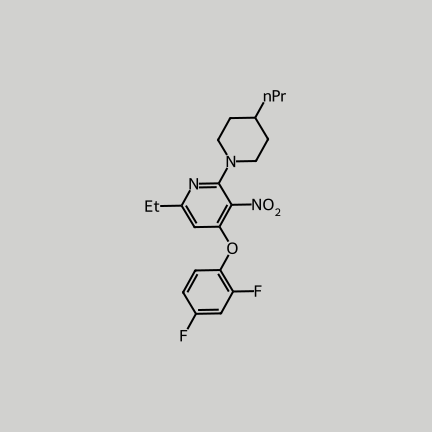 CCCC1CCN(c2nc(CC)cc(Oc3ccc(F)cc3F)c2[N+](=O)[O-])CC1